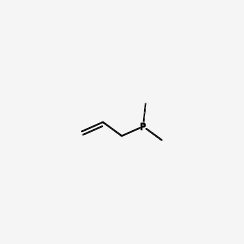 C=CCP(C)C